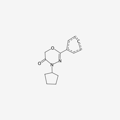 O=C1COC(c2ccccc2)=NN1C1CCCC1